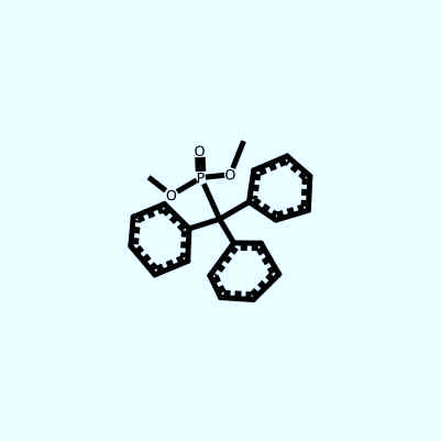 COP(=O)(OC)C(c1ccccc1)(c1ccccc1)c1ccccc1